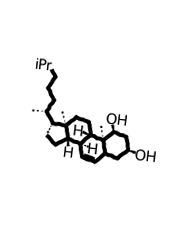 CC(C)CCC[C@@H](C)[C@H]1CC[C@H]2[C@@H]3C=CC4C[C@H](O)C[C@H](O)[C@]4(C)[C@H]3CC[C@]12C